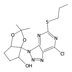 CCCSc1nc(Cl)c2nnn(C34OC(C)(C)OC3CCC4O)c2n1